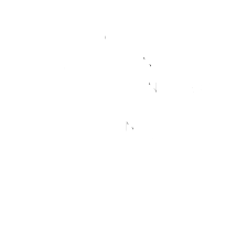 O=c1cc(-c2ccccc2)[nH]c2c(-c3cccs3)c(C(Cl)(Cl)Cl)nn12